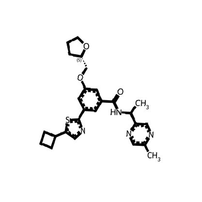 Cc1cnc(C(C)NC(=O)c2cc(OC[C@@H]3CCCO3)cc(-c3ncc(C4CCC4)s3)c2)cn1